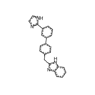 c1cc(-c2ccc(Cc3nc4ccccc4[nH]3)cc2)cc(-c2ncc[nH]2)c1